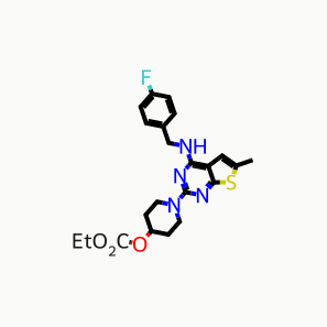 CCOC(=O)OC1CCN(c2nc(NCc3ccc(F)cc3)c3cc(C)sc3n2)CC1